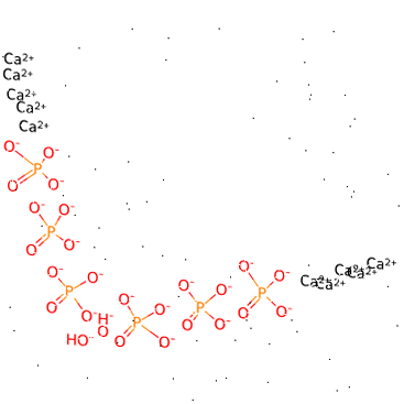 O=P([O-])([O-])[O-].O=P([O-])([O-])[O-].O=P([O-])([O-])[O-].O=P([O-])([O-])[O-].O=P([O-])([O-])[O-].O=P([O-])([O-])[O-].[Ca+2].[Ca+2].[Ca+2].[Ca+2].[Ca+2].[Ca+2].[Ca+2].[Ca+2].[Ca+2].[Ca+2].[OH-].[OH-]